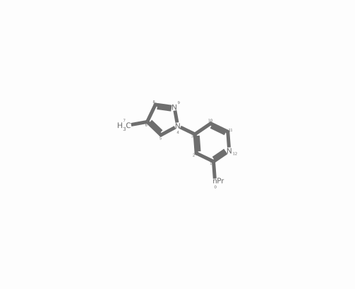 CCCc1cc(-n2cc(C)cn2)ccn1